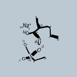 C=CCC(=C)C(=O)O.CCS(=O)(=O)[O-].[Na+]